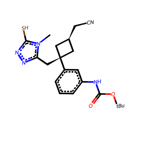 Cn1c(S)nnc1C[C@]1(c2cccc(NC(=O)OC(C)(C)C)c2)C[C@H](CC#N)C1